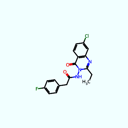 CCc1nc2cc(Cl)ccc2c(=O)n1NC(=O)Cc1ccc(F)cc1